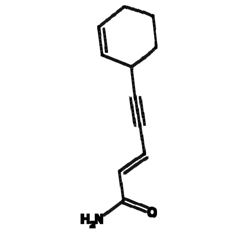 NC(=O)C=CC#CC1C=CCCC1